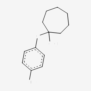 O=Cc1ccc(OC2(C(=O)O)CCCCCC2)cc1